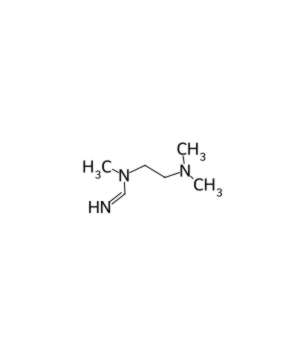 CN(C)CCN(C)C=N